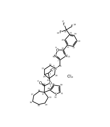 O=C(OC1C[N+]2(Cc3noc(-c4cccc(C(F)(F)F)c4)n3)CCC1CC2)C1(c2cccs2)CCCCCC1.[Cl-]